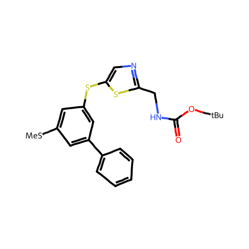 CSc1cc(Sc2cnc(CNC(=O)OC(C)(C)C)s2)cc(-c2ccccc2)c1